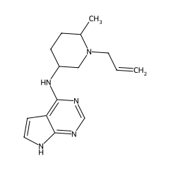 C=CCN1CC(Nc2ncnc3[nH]ccc23)CCC1C